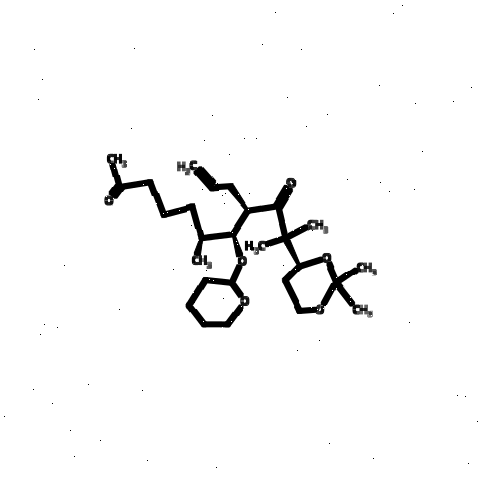 C=CC[C@@H](C(=O)C(C)(C)[C@@H]1CCOC(C)(C)O1)[C@@H](OC1CCCCO1)[C@@H](C)CCCC(C)=O